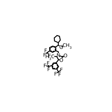 COC(c1ccc(C(F)(F)F)cc1CN1C(=O)OC(c2cc(C(F)(F)F)cc(C(F)(F)F)c2)C1C)C1CCCCC1